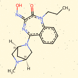 CCCn1c(=O)c(=NO)nc(N2C[C@@H]3C[C@H]2CN3C)c2ccccc21